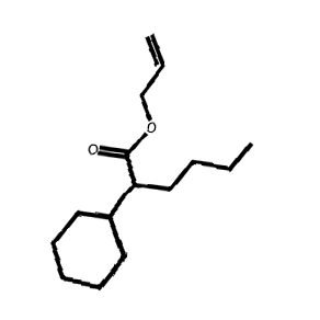 C=CCOC(=O)C(CCCC)C1CCCCC1